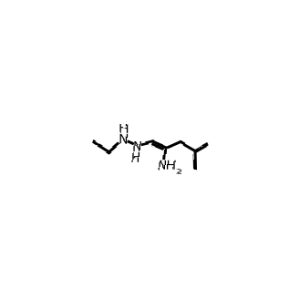 CCNN/C=C(\N)CC(C)C